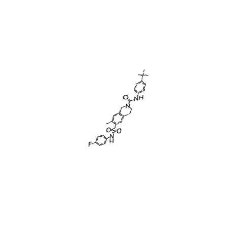 Cc1cc2c(cc1S(=O)(=O)Nc1ccc(F)cc1)CCN(C(=O)Nc1ccc(C(C)(C)C)cc1)C2